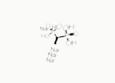 C=C(P(=O)(O)O)P(=O)(O)O.[Na].[Na].[Na].[Na]